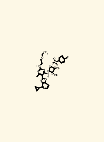 Cc1nc(NCCOCC(F)(F)F)nc(N[C@@H]2C[C@H](CS(=O)(=O)c3ccc(F)cc3)[C@@H](O)[C@H]2O)c1-c1nc2c(C3CC3)nccc2s1